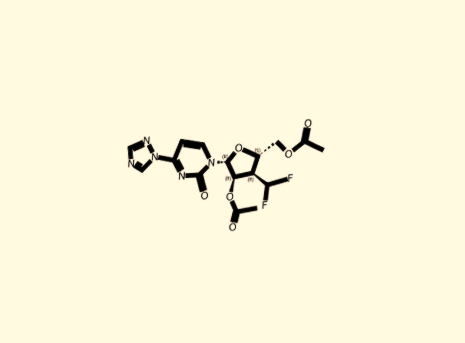 CC(=O)OC[C@H]1O[C@@H](n2ccc(-n3cncn3)nc2=O)[C@H](OC(C)=O)[C@@H]1C(F)F